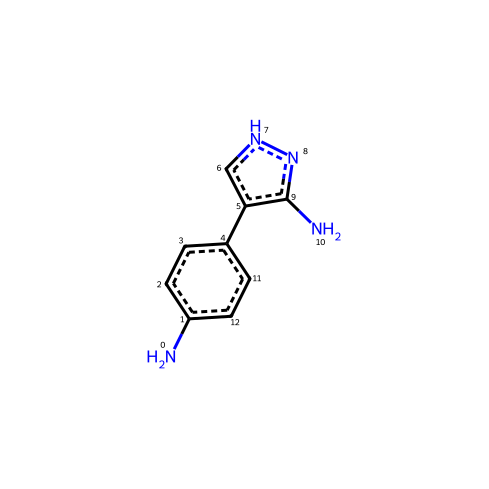 Nc1ccc(-c2c[nH]nc2N)cc1